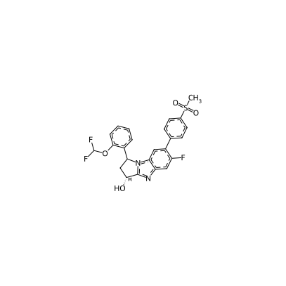 CS(=O)(=O)c1ccc(-c2cc3c(cc2F)nc2n3C(c3ccccc3OC(F)F)C[C@H]2O)cc1